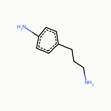 NCCCc1ccc(N)cc1